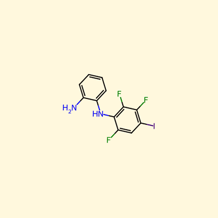 Nc1ccccc1Nc1c(F)cc(I)c(F)c1F